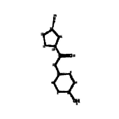 O=C([CH]C1CCC(O)CC1)N1CC[C@H](F)C1